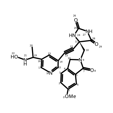 COc1ccc2c(c1)C(=O)N(C[C@@]1(C#Cc3cncc(C(C)NO)c3)NC(=O)NC1=O)C2